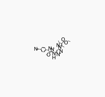 CCOC(=O)c1c(C)nn(-c2cc(Nc3c(OC)c(-c4ccc(C#N)cc4)nn3C)ncn2)c1C